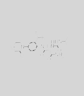 CC(C)NC(=O)N[C@H](C(N)=O)C(=O)Nc1ccc(N2CCOCC2=O)cc1C(F)F